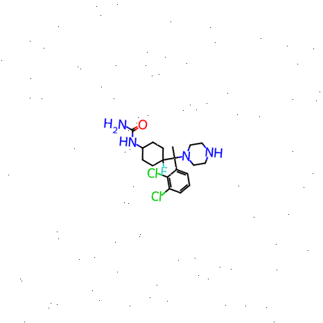 CC(c1cccc(Cl)c1Cl)(N1CCNCC1)C1(F)CCC(NC(N)=O)CC1